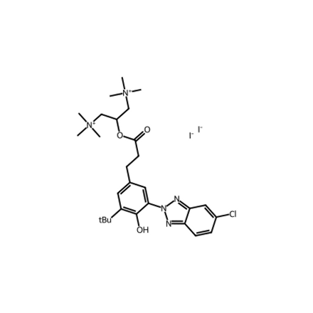 CC(C)(C)c1cc(CCC(=O)OC(C[N+](C)(C)C)C[N+](C)(C)C)cc(-n2nc3ccc(Cl)cc3n2)c1O.[I-].[I-]